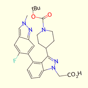 Cn1cc2cc(F)c(-c3cccc4c3c(C3CCN(C(=O)OC(C)(C)C)CC3)nn4CC(=O)O)cc2n1